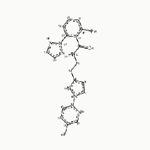 O=C(NCCc1ccn(-c2ccc(F)cn2)n1)c1c(F)cccc1-n1nccn1